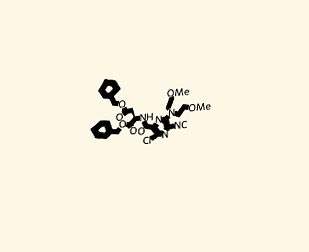 [C-]#[N+]c1nc(Cl)c(C(=O)N[C@H](CC(=O)OCc2ccccc2)C(=O)OCc2ccccc2)nc1N(CCOC)CCOC